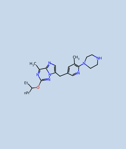 CCCC(CC)Oc1nc(C)c2ncc(Cc3cnc(N4CCNCC4)c(C)c3)n2n1